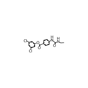 CCNC(=O)Nc1ccc(C(=O)Oc2cc(Cl)cc(Cl)c2)cc1